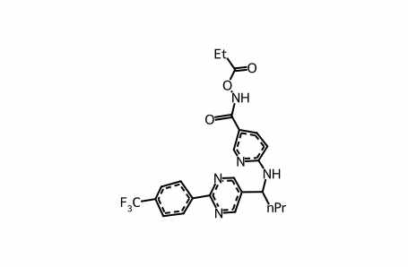 CCCC(Nc1ccc(C(=O)NOC(=O)CC)cn1)c1cnc(-c2ccc(C(F)(F)F)cc2)nc1